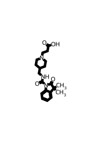 CC1(C)C(=O)N(C(=O)NCC2CCN(CCC(=O)O)CC2)c2ccccc21